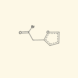 O=C(Br)Cc1ccco1